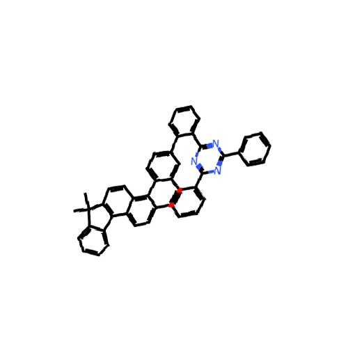 CC1(C)c2ccccc2-c2c1ccc1c2ccc2ccc3cc(-c4ccccc4-c4nc(-c5ccccc5)nc(-c5ccccc5)n4)ccc3c21